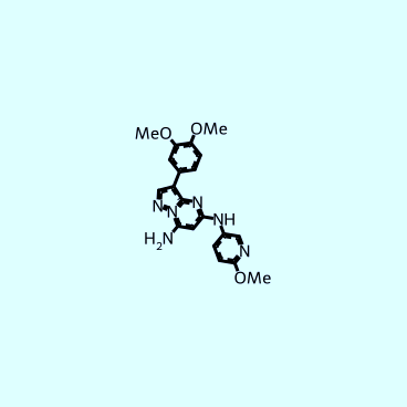 COc1ccc(Nc2cc(N)n3ncc(-c4ccc(OC)c(OC)c4)c3n2)cn1